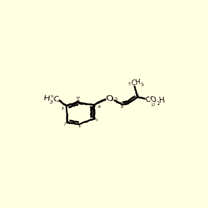 C/C(=C\Oc1cccc(C)c1)C(=O)O